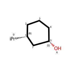 CC(C)[C@@H]1CCC[C@H](O)C1